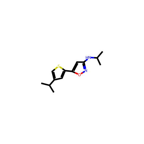 CC(C)Nc1cc(-c2cc(C(C)C)cs2)on1